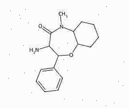 CN1C(=O)C(N)C(c2ccccc2)OC2CCCCC21